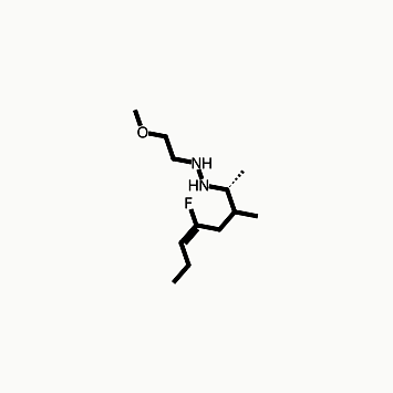 CC/C=C(/F)CC(C)[C@@H](C)NNCCOC